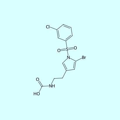 O=C(O)NCCc1cc(Br)n(S(=O)(=O)c2cccc(Cl)c2)c1